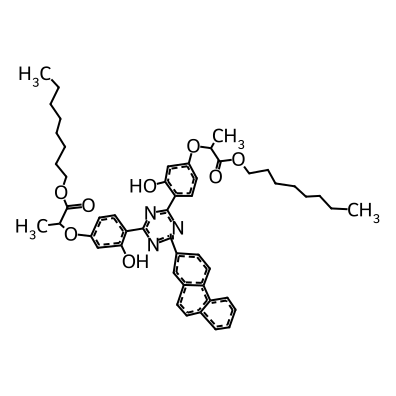 CCCCCCCCOC(=O)C(C)Oc1ccc(-c2nc(-c3ccc4c(ccc5ccccc54)c3)nc(-c3ccc(OC(C)C(=O)OCCCCCCCC)cc3O)n2)c(O)c1